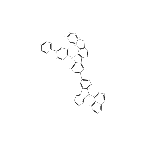 c1ccc(-c2ccc(-n3c4ccc(-c5ccc6c(c5)-c5ccccc5C6c5cccc6ccccc56)cc4c4ccc5oc6ccccc6c5c43)cc2)cc1